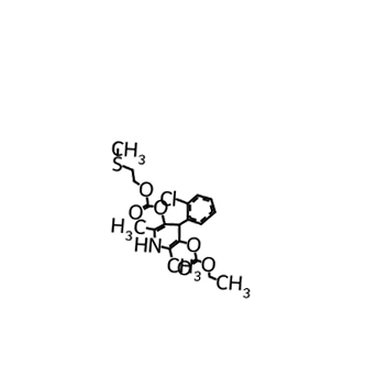 CCOC(=O)OC1=C(C)NC(C)=C(OC(=O)OCCSC)C1c1ccccc1Cl